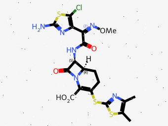 CO/N=C(\C(=O)N[C@@H]1C(=O)N2C(C(=O)O)=C(Sc3nc(C)c(C)s3)CC[C@H]12)c1nc(N)sc1Cl